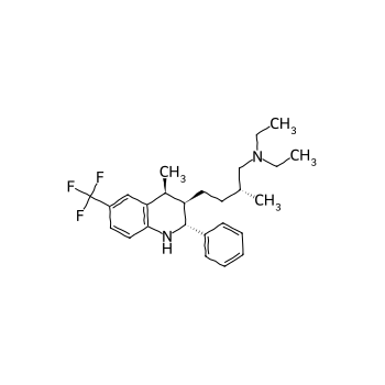 CCN(CC)C[C@H](C)CC[C@@H]1[C@H](C)c2cc(C(F)(F)F)ccc2N[C@H]1c1ccccc1